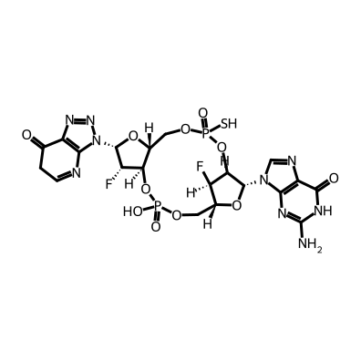 Nc1nc2c(ncn2[C@@H]2O[C@@H]3COP(=O)(O)O[C@H]4[C@H](F)[C@H](n5nnc6c5N=CCC6=O)O[C@@H]4COP(=O)(S)O[C@@H]2[C@@H]3F)c(=O)[nH]1